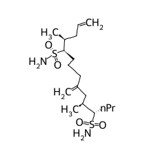 C=CC[C@H](C)[C@@H](CCCC(=C)C[C@H](C)[C@H](CCC)S(N)(=O)=O)S(N)(=O)=O